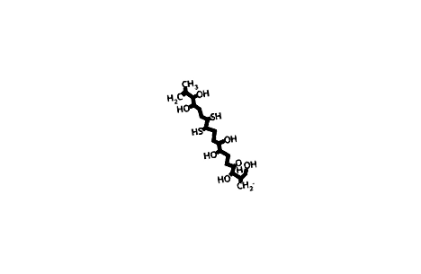 [CH2]C(CO)C(O)C(O)CCC(O)C(O)CCC(S)C(S)CCC(O)C(O)C(=C)C